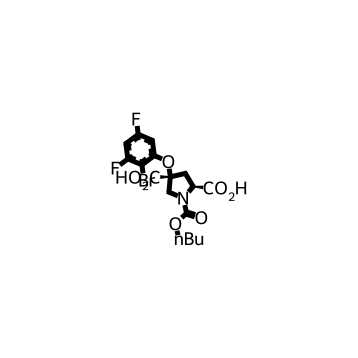 CCCCOC(=O)N1C[C@@](Oc2cc(F)cc(F)c2Br)(C(=O)O)C[C@H]1C(=O)O